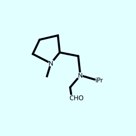 CC(C)N(CC=O)CC1CCCN1C